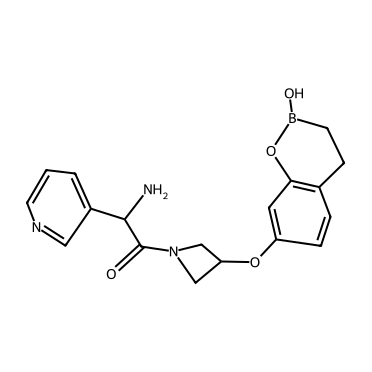 NC(C(=O)N1CC(Oc2ccc3c(c2)OB(O)CC3)C1)c1cccnc1